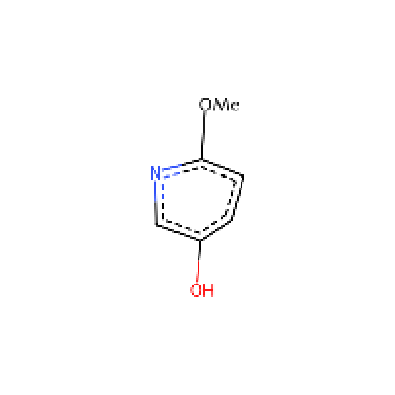 [CH2]Oc1ccc(O)cn1